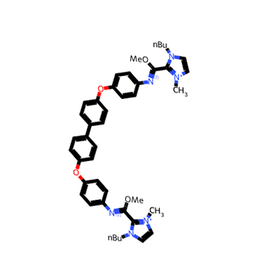 CCCCn1cc[n+](C)c1/C(=N/c1ccc(Oc2ccc(-c3ccc(Oc4ccc(/N=C(\OC)c5n(CCCC)cc[n+]5C)cc4)cc3)cc2)cc1)OC